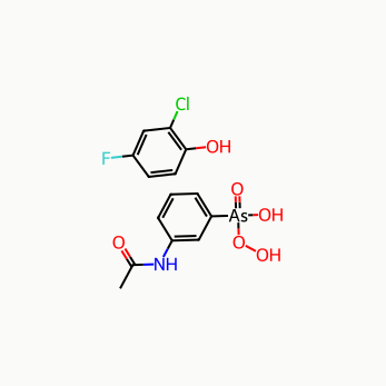 CC(=O)Nc1cccc([As](=O)(O)OO)c1.Oc1ccc(F)cc1Cl